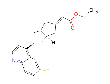 CCOC(=O)/C=C1/CC2C[C@H](c3ccnc4ccc(F)cc34)C[C@@H]2C1